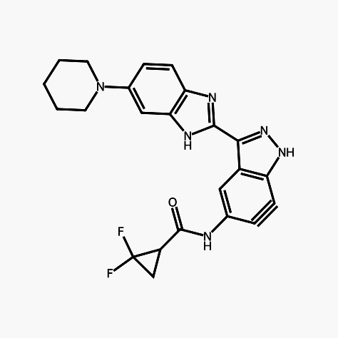 O=C(Nc1c#cc2[nH]nc(-c3nc4ccc(N5CCCCC5)cc4[nH]3)c2c1)C1CC1(F)F